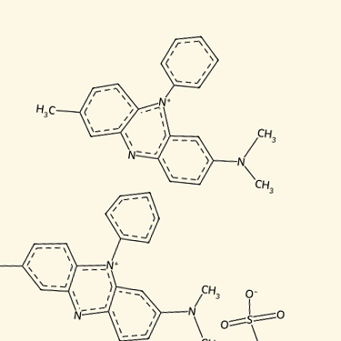 Cc1ccc2c(c1)nc1ccc(N(C)C)cc1[n+]2-c1ccccc1.Cc1ccc2c(c1)nc1ccc(N(C)C)cc1[n+]2-c1ccccc1.O=S(=O)([O-])[O-]